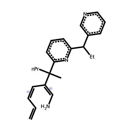 C=C/C=C\C(=C/N)C(C)(CCC)c1cccc(C(CC)c2cccnc2)n1